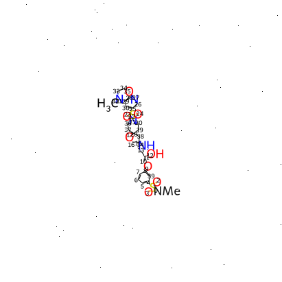 CNS(=O)(=O)c1cccc(OC[C@@H](O)CN[C@@H]2COC3(CCN(S(=O)(=O)c4cnc5c(c4)N(C)CCO5)CC3)C2)c1